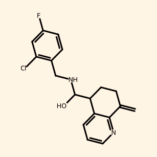 C=C1CCC(C(O)NCc2ccc(F)cc2Cl)c2cccnc21